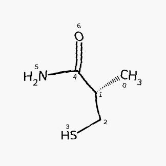 C[C@H](CS)C(N)=O